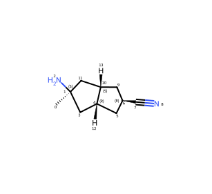 C[C@@]1(N)C[C@H]2C[C@H](C#N)C[C@H]2C1